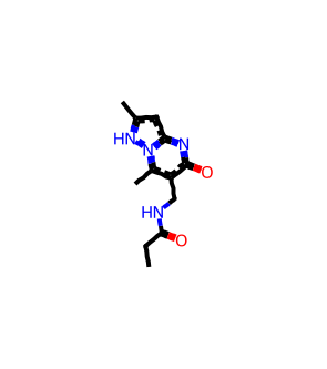 CCC(=O)NCc1c(C)n2[nH]c(C)cc2nc1=O